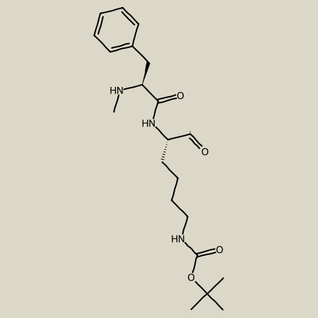 CN[C@@H](Cc1ccccc1)C(=O)N[C@H]([C]=O)CCCCNC(=O)OC(C)(C)C